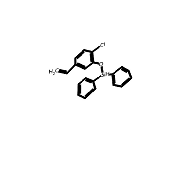 C=Cc1ccc(Cl)c(O[SiH](c2ccccc2)c2ccccc2)c1